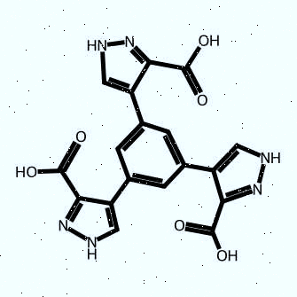 O=C(O)c1n[nH]cc1-c1cc(-c2c[nH]nc2C(=O)O)cc(-c2c[nH]nc2C(=O)O)c1